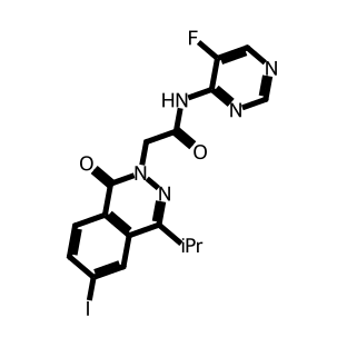 CC(C)c1nn(CC(=O)Nc2ncncc2F)c(=O)c2ccc(I)cc12